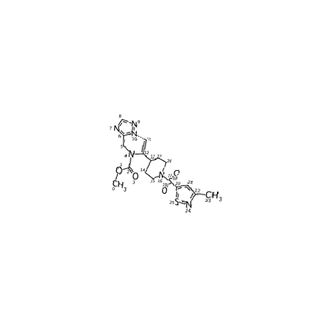 COC(=O)N1Cc2ncnn2C=C1C1CCN(S(=O)(=O)c2cc(C)ns2)CC1